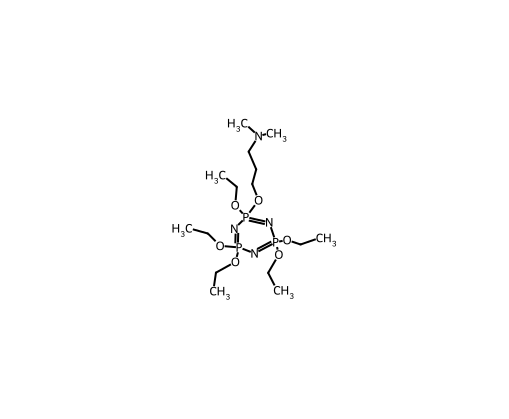 CCOP1(OCC)=NP(OCC)(OCC)=NP(OCC)(OCCCN(C)C)=N1